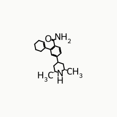 C[C@@H]1CC(c2ccc(C(N)=O)c(C3=CCCCC3)c2)C[C@@H](C)N1